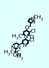 Cc1cc(OCc2ccn(C)n2)c(Cl)c(=O)n1-c1cc(-c2ccnc(C(C)(C)O)n2)ncc1Cl